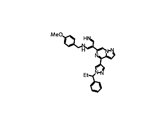 CCC(c1ccccc1)n1cc(-c2nc(/C(C=N)=C/NCc3ccc(OC)cc3)cn3nccc23)cn1